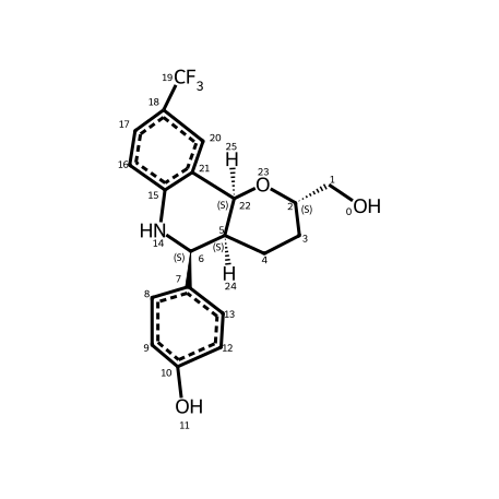 OC[C@@H]1CC[C@H]2[C@@H](c3ccc(O)cc3)Nc3ccc(C(F)(F)F)cc3[C@H]2O1